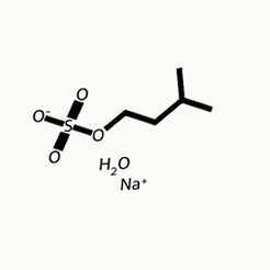 CC(C)CCOS(=O)(=O)[O-].O.[Na+]